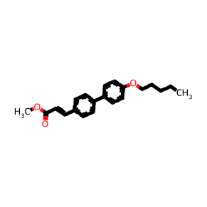 CCCCCOc1ccc(-c2ccc(C=CC(=O)OC)cc2)cc1